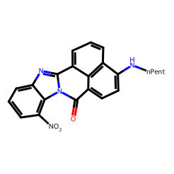 CCCCCNc1ccc2c(=O)n3c(nc4cccc([N+](=O)[O-])c43)c3cccc1c23